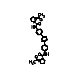 CC(=O)N1CCC[C@H]1C(=O)Nc1ccc(-c2ccc(-c3ccc(NC(=O)[C@@H]4CCCN4C(C)=O)cc3)s2)cc1